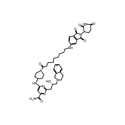 NC(=O)c1cc(NC2CCN(C(=O)CCCCCCCCNc3ccc4c(c3)C(=O)N(C3CCC(=O)NC3=O)C4=O)CC2)nc(C[C@H](O)CN2CCc3ccccc3C2)n1